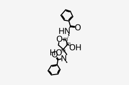 CN(C[C@]1(O)CO[C@H](CNC(=O)c2ccccc2)[C@H]1O)C(=O)c1ccccc1